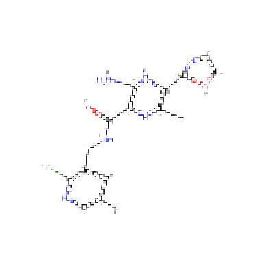 Cc1cnc(F)c(CNC(=O)c2nc(C)c(-c3ncco3)nc2N)c1